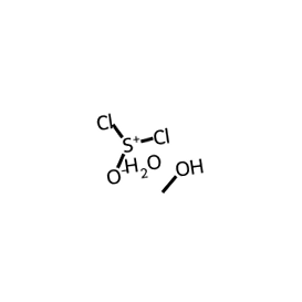 CO.O.[O-][S+](Cl)Cl